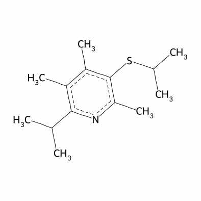 Cc1nc(C(C)C)c(C)c(C)c1SC(C)C